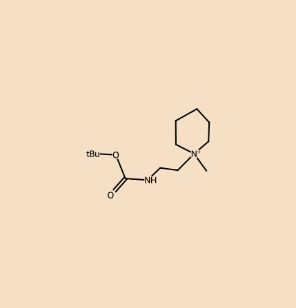 CC(C)(C)OC(=O)NCC[N+]1(C)CCCCC1